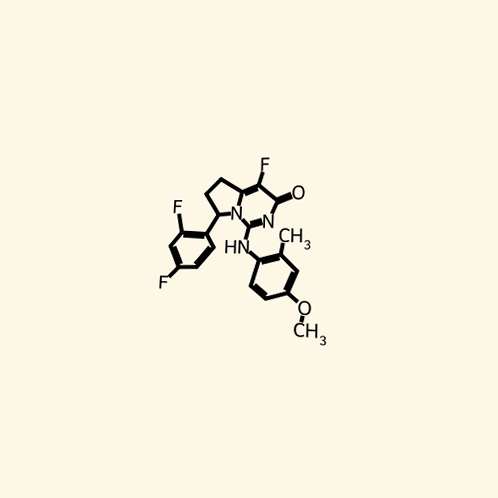 COc1ccc(Nc2nc(=O)c(F)c3n2C(c2ccc(F)cc2F)CC3)c(C)c1